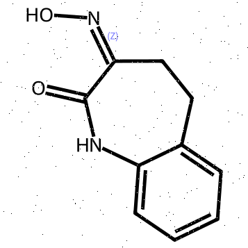 O=C1Nc2ccccc2CC/C1=N/O